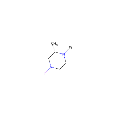 CCN1CCN(I)C[C@@H]1C